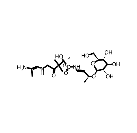 C/C(N)=C\NCC(=O)C(C)(C)[C@@](C)(O)[13C](=O)N/C=C/[C@H](C)O[C@H]1O[C@@H](CO)[C@H](O)[C@@H](O)[C@@H]1O